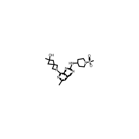 Cc1cc2cnc(NC3CCN(S(C)(=O)=O)CC3)nc2c(N2CC3(C2)CC(C)(O)C3)n1